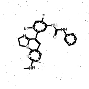 CNc1ncc2c(n1)N1CCN=C1C(c1cc(NC(=O)Nc3ccccc3)c(F)cc1Br)=C2